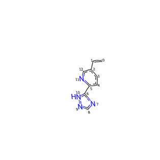 C=Cc1ccc(-c2ncn[nH]2)nc1